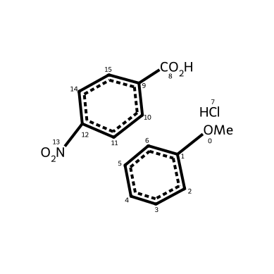 COc1ccccc1.Cl.O=C(O)c1ccc([N+](=O)[O-])cc1